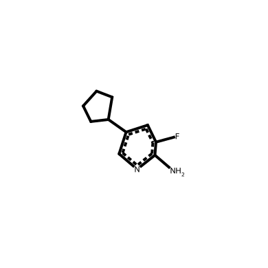 Nc1ncc(C2CCCC2)cc1F